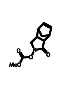 COC(=O)ON1CC2C3C=CC(C3)C2C1=O